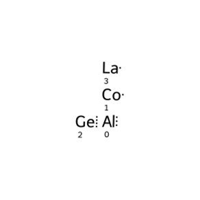 [Al].[Co].[Ge].[La]